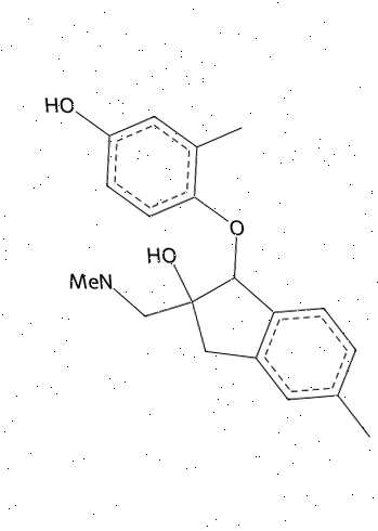 CNCC1(O)Cc2cc(C)ccc2C1Oc1ccc(O)cc1C